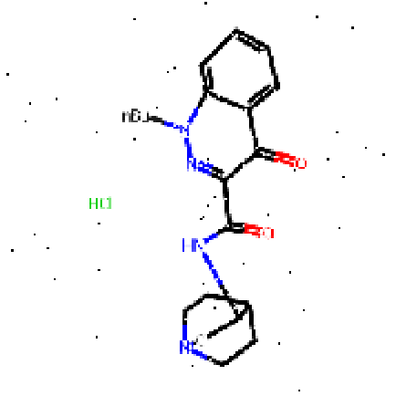 CCCCn1nc(C(=O)NC2CN3CCC2CC3)c(=O)c2ccccc21.Cl